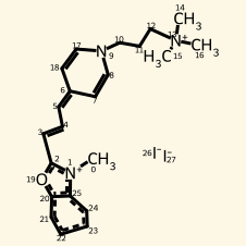 C[n+]1c(C=CC=C2C=CN(CCC[N+](C)(C)C)C=C2)oc2ccccc21.[I-].[I-]